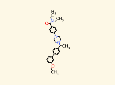 CCOc1cccc(-c2ccc(C(C)N3CCN(c4ccc(C(=O)N(CC)CC)cc4)CC3)cc2)c1